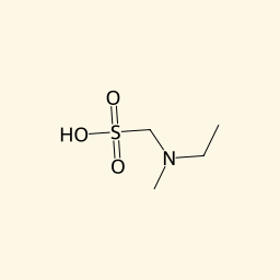 CCN(C)CS(=O)(=O)O